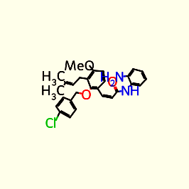 COc1ccc(/C=C\C(=O)Nc2ccccc2N)c(OCc2ccc(Cl)cc2)c1CC=C(C)C